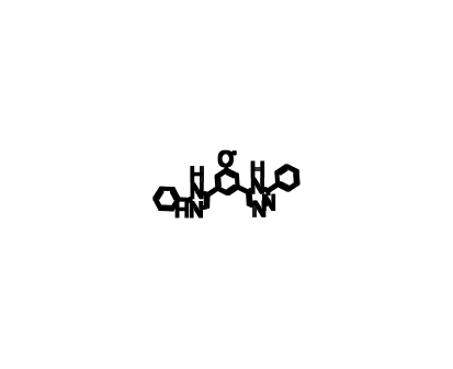 COc1cc(C2=CN=NC(c3ccccc3)N2)cc(C2=CNC(c3ccccc3)N2)c1